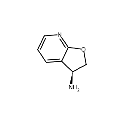 N[C@@H]1COc2ncccc21